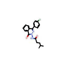 CC(C)CCC(=O)Nn1nc(-c2ccc(Cl)cc2)c2ccccc2c1=O